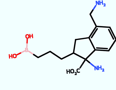 NCc1cccc2c1CC(CCCB(O)O)C2(N)C(=O)O